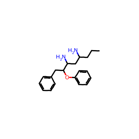 CCCC(N)CC(N)C(Cc1ccccc1)Oc1ccccc1